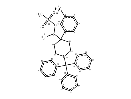 Cc1cccc(C2(C(C)OS(C)(=O)=O)CCN(C(c3ccccc3)(c3ccccc3)c3ccccc3)CC2)c1